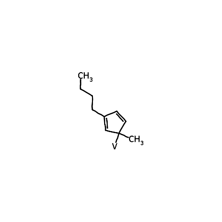 CCCCC1=C[C](C)([V])C=C1